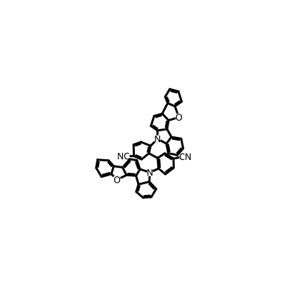 N#Cc1ccc(-n2c3ccccc3c3c4oc5ccccc5c4ccc32)c(-c2cc(C#N)ccc2-n2c3ccccc3c3c4oc5ccccc5c4ccc32)c1